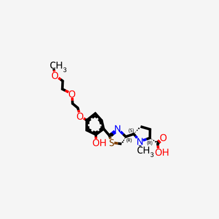 COCCOCCOc1ccc(C2=N[C@H]([C@@H]3CC[C@H](C(=O)O)N3C)CS2)c(O)c1